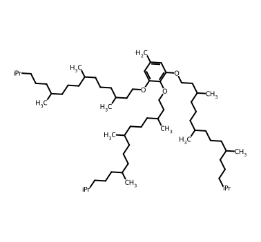 [CH2]c1cc(OCCC(C)CCCC(C)CCCC(C)CCCC(C)C)c(OCCC(C)CCCC(C)CCCC(C)CCCC(C)C)c(OCCC(C)CCCC(C)CCCC(C)CCCC(C)C)c1